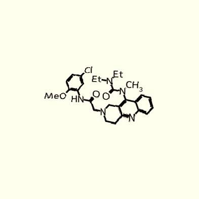 CCN(CC)C(=O)N(C)c1c2c(nc3ccccc13)CCN(CC(=O)Nc1cc(Cl)ccc1OC)C2